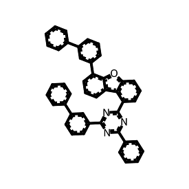 c1ccc(-c2cccc(-c3nc(-c4ccccc4)nc(-c4cccc5oc6c(-c7cccc(-c8ccccc8)c7)cccc6c45)n3)c2)cc1